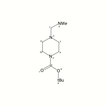 CNCN1CCN(C(=O)OC(C)(C)C)CC1